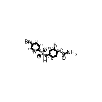 NC(=O)Oc1ccc(NS(=O)(=O)c2ccc(Br)cn2)cc1F